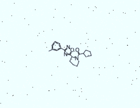 Cc1cccc(-c2noc(C3CCCCN3C(=O)C3CCCC3)n2)c1